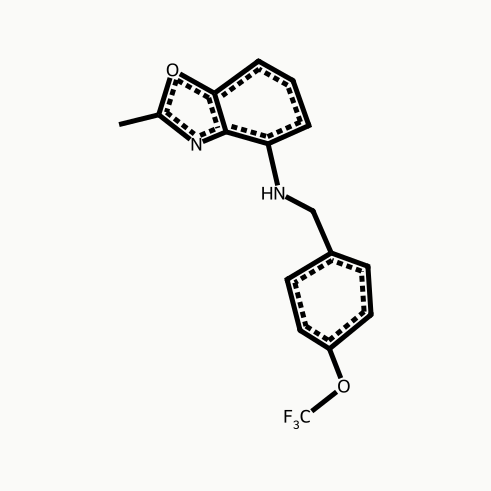 Cc1nc2c(NCc3ccc(OC(F)(F)F)cc3)cccc2o1